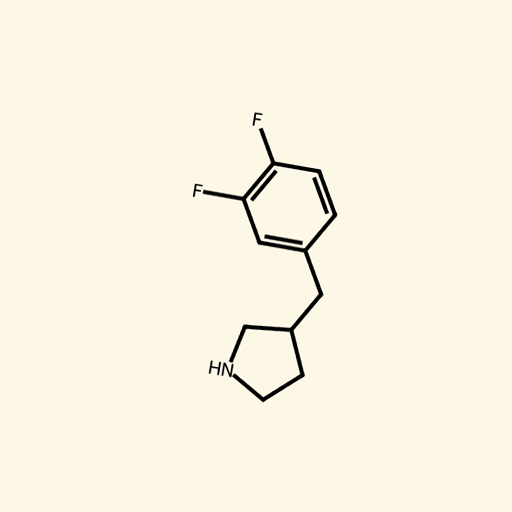 Fc1ccc(CC2CCNC2)cc1F